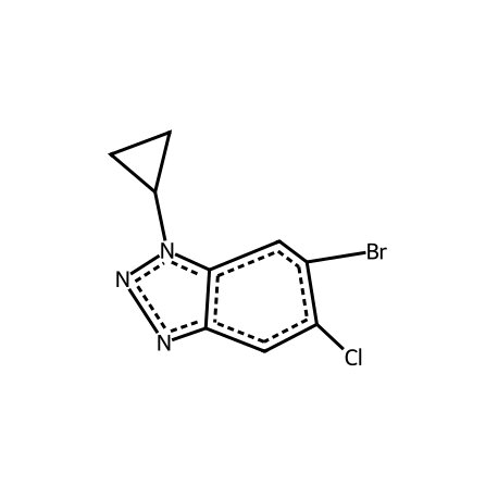 Clc1cc2nnn(C3CC3)c2cc1Br